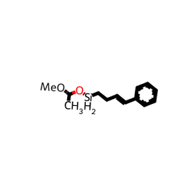 COC(C)O[SiH2]CCC=Cc1ccccc1